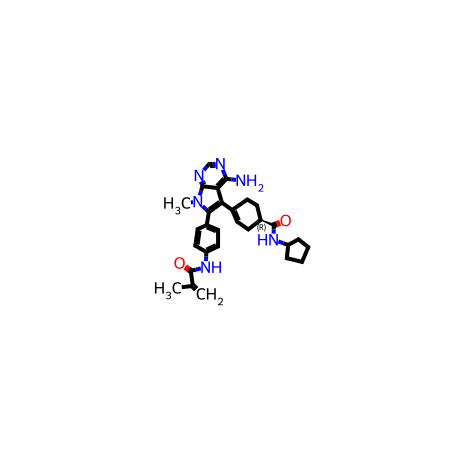 C=C(C)C(=O)Nc1ccc(-c2c(C3=CC[C@H](C(=O)NC4CCCC4)CC3)c3c(N)ncnc3n2C)cc1